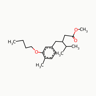 CCCCOc1cc(CC(CC(=O)OC)C(C)C)ccc1C